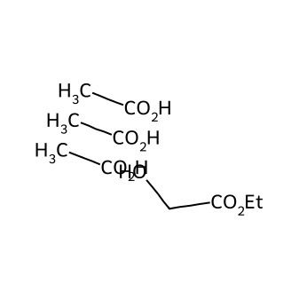 CC(=O)O.CC(=O)O.CC(=O)O.CCOC(=O)CO